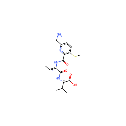 C/C=C(\NC(=O)c1nc(CN)ccc1SC)C(=O)N[C@H](C(=O)O)C(C)C